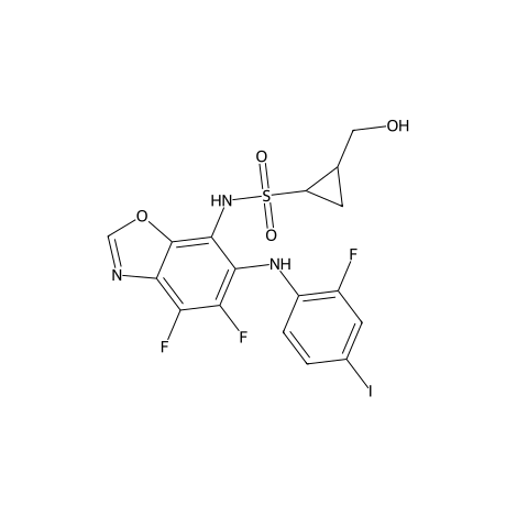 O=S(=O)(Nc1c(Nc2ccc(I)cc2F)c(F)c(F)c2ncoc12)C1CC1CO